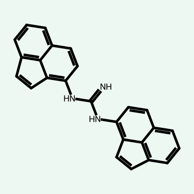 N=C(Nc1ccc2cccc3c2c1C=C3)Nc1ccc2cccc3c2c1C=C3